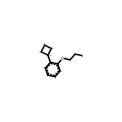 CCCOc1ccccc1C1CCC1